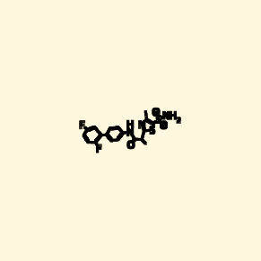 Cc1nc(C(C)C(=O)Nc2ccc(-c3cc(F)ccc3F)cc2)sc1S(N)(=O)=O